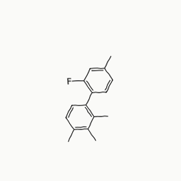 Cc1ccc(-c2ccc(C)c(C)c2C)c(F)c1